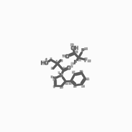 CC(C)(CO)C(=O)N1N=CCC1c1ccccc1.O=C(O)C(F)(F)F